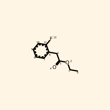 CCOC(=O)Cc1ccccc1F